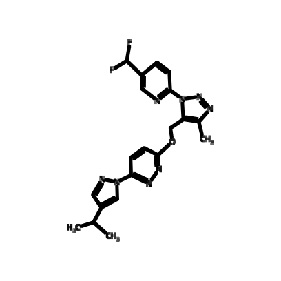 Cc1nnn(-c2ccc(C(F)F)cn2)c1COc1ccc(-n2cc(C(C)C)cn2)nn1